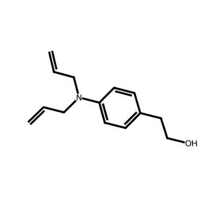 C=CCN(CC=C)c1ccc(CCO)cc1